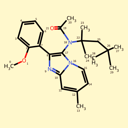 COc1ccccc1-c1nc2cc(C)ccn2c1N(C(C)=O)C(C)(C)CC(C)(C)C